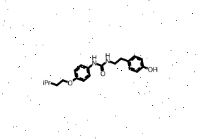 CC(C)CCOc1ccc(NC(=O)NCCc2ccc(O)cc2)cc1